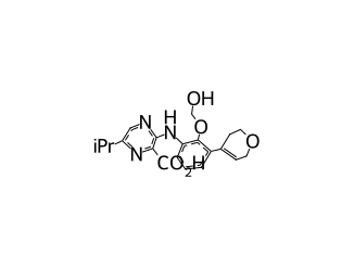 CC(C)c1cnc(Nc2cccc(C3=CCOCC3)c2OCO)c(C(=O)O)n1